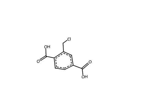 O=C(O)c1ccc(C(=O)O)c(CCl)c1